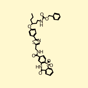 CCCC(CCNC(=O)OCc1ccccc1)Oc1ccc(-c2ncc(CNC(=O)c3ccc4c(c3)NC(=O)c3ccccc3S4(=O)=O)s2)cc1